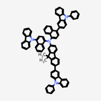 CC1(C)c2cc(-c3ccc4c(c3)c3ccccc3n4-c3ccccc3)ccc2-c2ccc(N(c3ccc(-c4ccc5c(c4)c4ccccc4n5-c4ccccc4)c4ccccc34)c3ccc(-n4c5ccccc5c5ccccc54)c4ccccc34)cc21